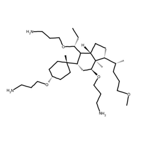 CC[C@@H](OCCCN)C1[C@@H]2CC[C@H]([C@H](C)CCCOC)[C@@]2(C)[C@@H](OCCCN)C[C@@H]1[C@]1(C)CC[C@H](OCCCN)CC1